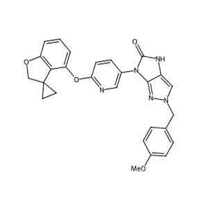 COc1ccc(Cn2cc3[nH]c(=O)n(-c4ccc(Oc5cccc6c5C5(CC5)CO6)nc4)c3n2)cc1